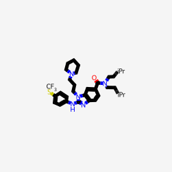 CC(C)CCN(CCC(C)C)C(=O)c1ccc2nc(Nc3ccc(SC(F)(F)F)cc3)n(CCCN3CCCCC3)c2c1